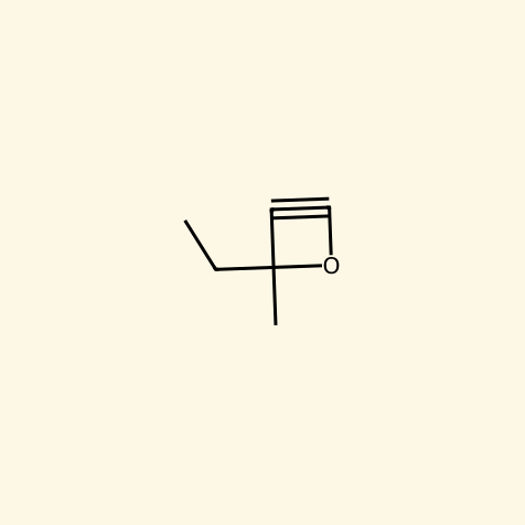 CCC1(C)C#CO1